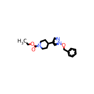 CCOC(=O)N1CCC(c2cnn(OCc3ccccc3)c2)CC1